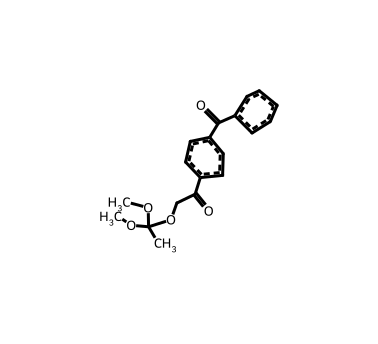 COC(C)(OC)OCC(=O)c1ccc(C(=O)c2ccccc2)cc1